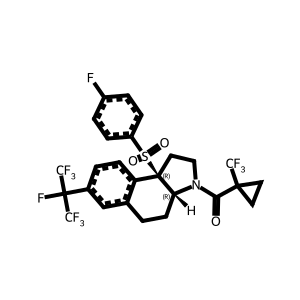 O=C(N1CC[C@@]2(S(=O)(=O)c3ccc(F)cc3)c3ccc(C(F)(C(F)(F)F)C(F)(F)F)cc3CC[C@@H]12)C1(C(F)(F)F)CC1